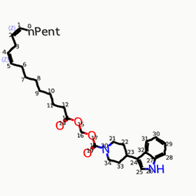 CCCCC/C=C\C/C=C\CCCCCCCC(=O)OCOC(=O)N1CCC(c2c[nH]c3ccccc23)CC1